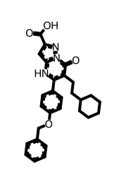 O=C(O)c1cc2[nH]c(-c3ccc(OCc4ccccc4)cc3)c(CCC3CCCCC3)c(=O)n2n1